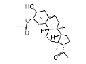 CC(=O)OC1C[C@@]2(C)C(=CC[C@H]3[C@@H]4CC[C@H](C(C)=O)[C@@]4(C)CC[C@@H]32)CC1O